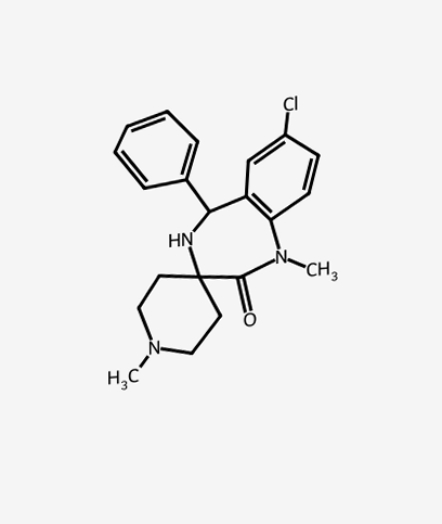 CN1CCC2(CC1)NC(c1ccccc1)c1cc(Cl)ccc1N(C)C2=O